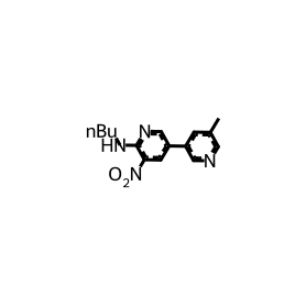 CCCCNc1ncc(-c2cncc(C)c2)cc1[N+](=O)[O-]